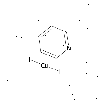 [I][Cu][I].c1ccncc1